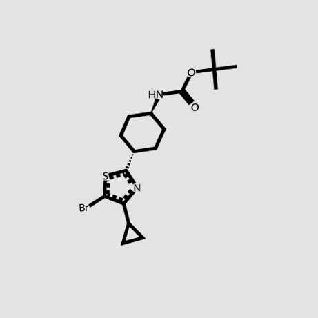 CC(C)(C)OC(=O)N[C@H]1CC[C@H](c2nc(C3CC3)c(Br)s2)CC1